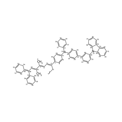 CC(=C\C=C(/CI)c1ccc(N(c2ccccc2)c2ccc(-c3cccc(-n4c5ccccc5c5ccccc54)c3)cc2)cc1)/C(C)=C/C(=C1/C=CC=CC1)c1ccccc1